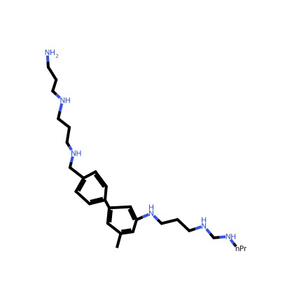 CCCNCNCCCNc1cc(C)cc(-c2ccc(CNCCCNCCCN)cc2)c1